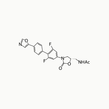 CC(=O)NC[C@H]1CN(c2cc(F)c(-c3ccc(-c4cnco4)cc3)c(F)c2)C(=O)O1